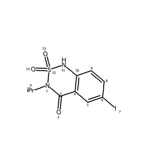 CC(C)N1C(=O)c2cc(I)ccc2NS1(=O)=O